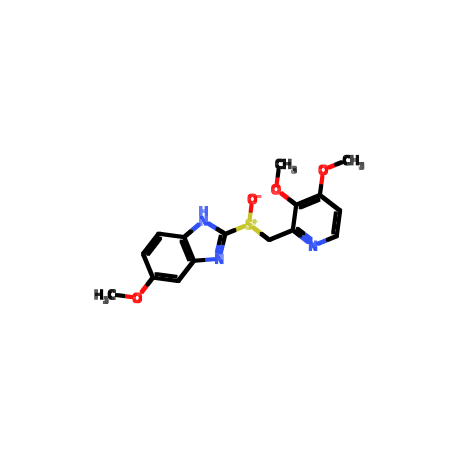 COc1ccc2[nH]c([S+]([O-])Cc3nccc(OC)c3OC)nc2c1